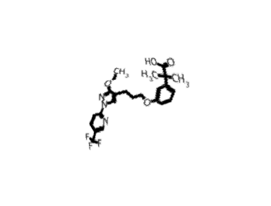 CCOc1nn(-c2ccc(C(F)(F)F)cn2)cc1CCCOc1cccc(C(C)(C)C(=O)O)c1